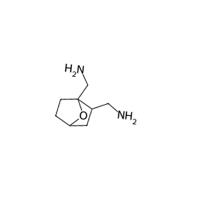 NCC1CC2CCC1(CN)O2